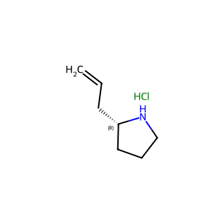 C=CC[C@H]1CCCN1.Cl